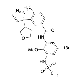 COc1c(NC(=O)c2ccc(C)c(C3(C4CCOC4)C=NN=N3)c2)cc(C(C)(C)C)cc1NS(C)(=O)=O